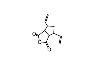 C=CC1CC(C=C)C2C(=O)OC(=O)C12